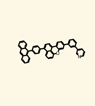 c1cncc(-c2cccc(-c3ccc4c(c3)Oc3cccc5c(-c6ccc(-c7c8ccccc8cc8ccccc78)cc6)ccc-4c35)c2)c1